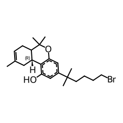 CC1=CCC2[C@@H](C1)c1c(O)cc(C(C)(C)CCCCBr)cc1OC2(C)C